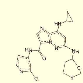 O=C(Nc1ccnc(Cl)c1)c1cnc2c(NC3CC3)cc(NC3CCSCC3)nn12